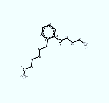 COCCCCCc1ccccc1OCCCBr